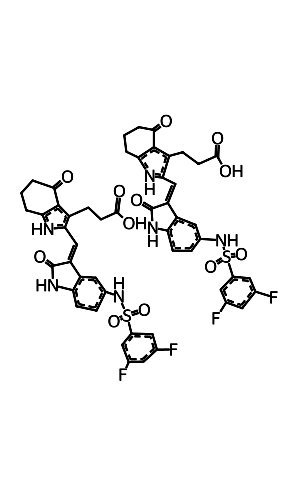 O=C(O)CCc1c(C=C2C(=O)Nc3ccc(NS(=O)(=O)c4cc(F)cc(F)c4)cc32)[nH]c2c1C(=O)CCC2.O=C(O)CCc1c(C=C2C(=O)Nc3ccc(NS(=O)(=O)c4cc(F)cc(F)c4)cc32)[nH]c2c1C(=O)CCC2